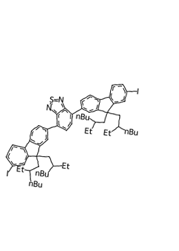 CCCCC(CC)CC1(CC(CC)CCCC)c2cc(I)ccc2-c2ccc(-c3ccc(-c4ccc5c(c4)C(CC(CC)CCCC)(CC(CC)CCCC)c4cc(I)ccc4-5)c4nsnc34)cc21